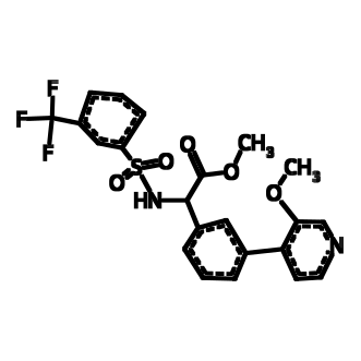 COC(=O)C(NS(=O)(=O)c1cccc(C(F)(F)F)c1)c1cccc(-c2ccncc2OC)c1